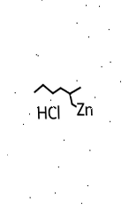 CCCCC(C)[CH2][Zn].Cl